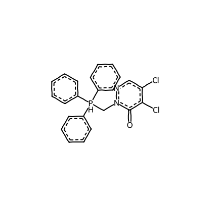 O=c1c(Cl)c(Cl)cnn1C[PH](c1ccccc1)(c1ccccc1)c1ccccc1